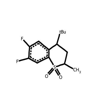 CC1CC(C(C)(C)C)c2cc(F)c(F)cc2S1(=O)=O